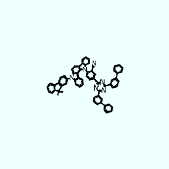 CC1(C)c2ccccc2-c2ccc(-n3c4ccccc4c4c3ccc3c5ccccc5n(-c5ccc(-c6nc(-c7cccc(-c8ccccc8)c7)nc(-c7cccc(-c8ccccc8)c7)n6)cc5C#N)c34)cc21